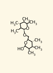 CC1O[C@@H](OCC2OC(O)C(C)[C@H](C)[C@H]2C)C(C)[C@H](C)[C@H]1C